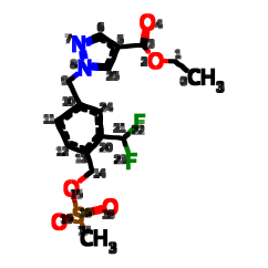 CCOC(=O)c1cnn(Cc2ccc(COS(C)(=O)=O)c(C(F)F)c2)c1